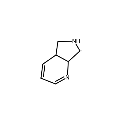 [CH]1NCC2C=CC=NC12